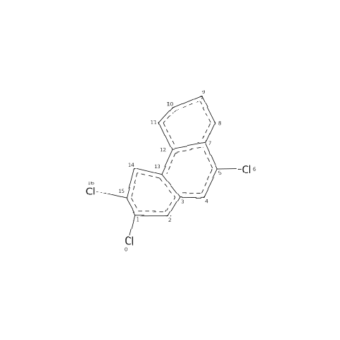 Clc1[c]c2cc(Cl)c3c[c]ccc3c2cc1Cl